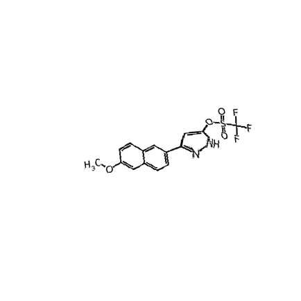 COc1ccc2cc(-c3cc(OS(=O)(=O)C(F)(F)F)[nH]n3)ccc2c1